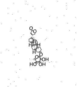 C[C@@H]1O[C@@H](O[C@H]2CC[C@@]3(C)[C@H](CC[C@@H]4[C@@H]3CC[C@]3(C)[C@@H](C5=CC(=O)OC5)CC[C@@H]43)C2)[C@H](O)[C@H](O)[C@H]1O